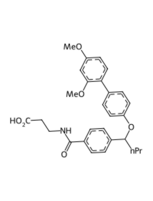 CCCC(Oc1ccc(-c2ccc(OC)cc2OC)cc1)c1ccc(C(=O)NCCC(=O)O)cc1